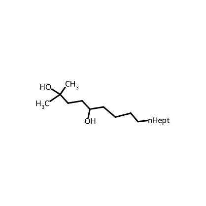 CCCCCCCCCCCC(O)CCC(C)(C)O